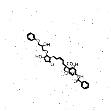 O=CC[C@](C/C=C\CC[C@H]1C(=O)C[C@H](O)[C@@H]1OCC(O)COc1ccccc1)(C(=O)O)c1ccc(NC(=O)c2ccccc2)cc1